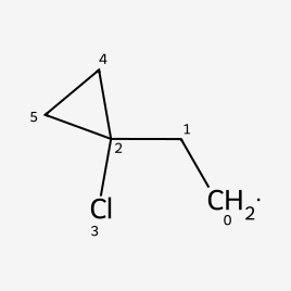 [CH2]CC1(Cl)CC1